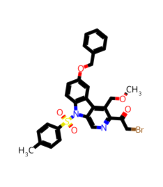 COCc1c(C(=O)CBr)ncc2c1c1cc(OCc3ccccc3)ccc1n2S(=O)(=O)c1ccc(C)cc1